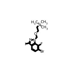 C[Si](C)(C)CCOCn1nc(I)c2ccc(Br)c(F)c21